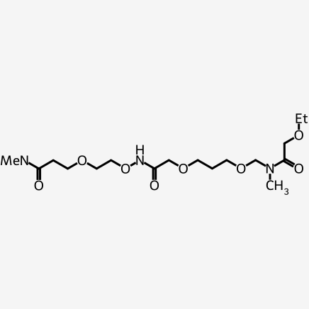 CCOCC(=O)N(C)COCCCOCC(=O)NOCCOCCC(=O)NC